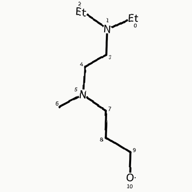 CCN(CC)CCN(C)CCC[O]